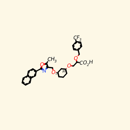 Cc1oc(-c2ccc3ccccc3c2)nc1CO[C@H]1CCC[C@@H](OCC(OCc2ccc(C(F)(F)F)cc2)C(=O)O)C1